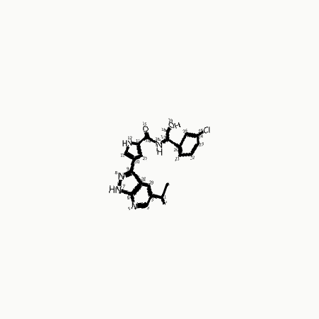 CC(C)c1cnc2[nH]nc(-c3c[nH]c(C(=O)NC(CO)c4cccc(Cl)c4)c3)c2c1